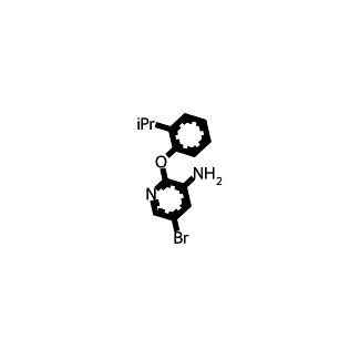 CC(C)c1ccccc1Oc1ncc(Br)cc1N